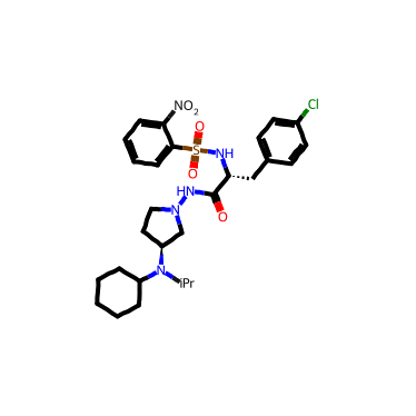 CC(C)N(C1CCCCC1)[C@H]1CCN(NC(=O)[C@@H](Cc2ccc(Cl)cc2)NS(=O)(=O)c2ccccc2[N+](=O)[O-])C1